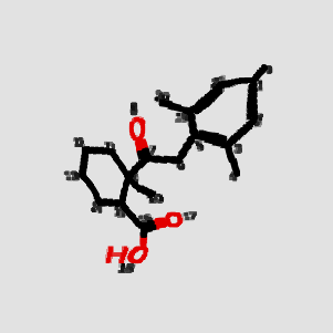 Cc1cc(C)c(CC(=O)C2(C)CCCCC2C(=O)O)c(C)c1